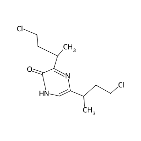 CC(CCCl)c1c[nH]c(=O)c(C(C)CCCl)n1